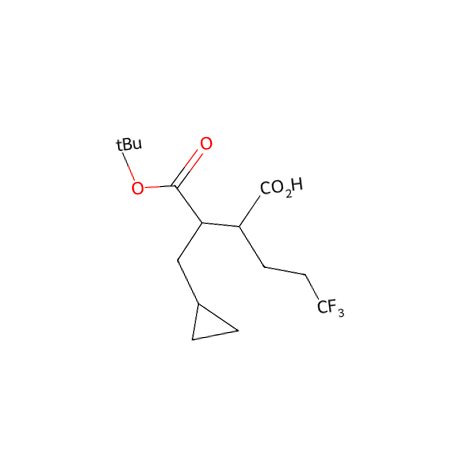 CC(C)(C)OC(=O)C(CC1CC1)C(CCC(F)(F)F)C(=O)O